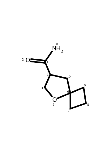 NC(=O)C1COC2(CCC2)C1